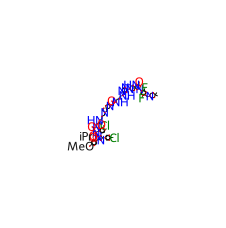 COc1ccc(C2=N[C@@H](c3ccc(Cl)cc3)[C@@H](c3ccc(Cl)cc3)N2C(=O)N2CCN(CC(=O)NCCCN3CC[C@@]4(CCN(CC(=O)NCCCNc5cc(N6CCC7(CC6)CN(c6cc(F)c(CN8CCC(C)(C)CC8)cc6F)CC(=O)N7)ncn5)C4)C3)C(=O)C2)c(OC(C)C)c1